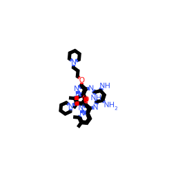 Cc1ccc2c(/N=C3\N/C(=N\c4c(OCCCN5CCCCC5)nn5c(C)c(C)ccc45)C(N)=CC3=N)c(OCCCN3CCCCC3)nn2c1C